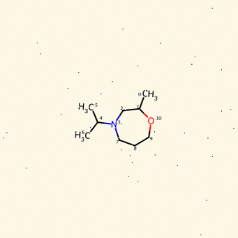 CC1CN(C(C)C)CCCO1